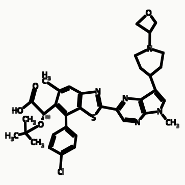 Cc1cc2nc(-c3cnc4c(n3)c(C3CCN(C5COC5)CC3)cn4C)sc2c(-c2ccc(Cl)cc2)c1[C@H](OC(C)(C)C)C(=O)O